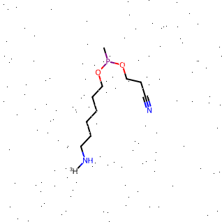 [3H]NCCCCCCOP(C)OCCC#N